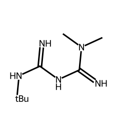 CN(C)C(=N)NC(=N)NC(C)(C)C